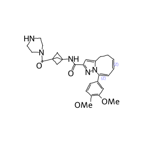 COc1ccc(/C2=C/C=C\CCc3cc(C(=O)NC45CC(C(=O)N6CCNCC6)(C4)C5)nn32)cc1OC